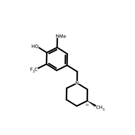 CNc1cc(CN2CCC[C@H](C)C2)cc(C(F)(F)F)c1O